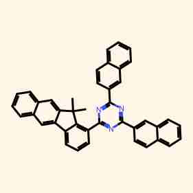 CC1(C)c2cc3ccccc3cc2-c2cccc(-c3nc(-c4ccc5ccccc5c4)nc(-c4ccc5ccccc5c4)n3)c21